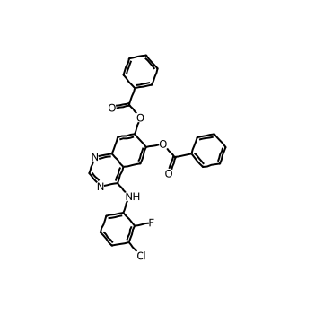 O=C(Oc1cc2ncnc(Nc3cccc(Cl)c3F)c2cc1OC(=O)c1ccccc1)c1ccccc1